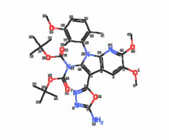 COc1cc2c(-c3nnc(N)o3)c(N(C(=O)OC(C)(C)C)C(=O)OC(C)(C)C)n(-c3c(C)ccc(OC)c3C)c2nc1OC